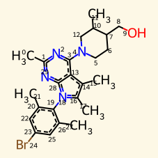 Cc1nc(N2CCC(CO)C(C)C2)c2c(C)c(C)n(-c3c(C)cc(Br)cc3C)c2n1